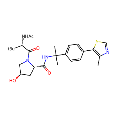 CC(=O)N[C@H](C(=O)N1C[C@H](O)C[C@H]1C(=O)NC(C)(C)c1ccc(-c2scnc2C)cc1)C(C)(C)C